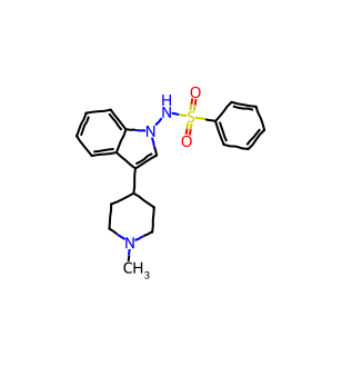 CN1CCC(c2cn(NS(=O)(=O)c3ccccc3)c3ccccc23)CC1